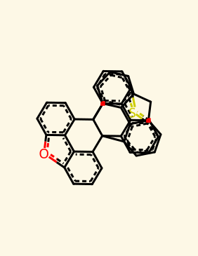 c1cc2c3c(c1)C14c5cccc6oc7cccc(c7c56)C1(c1cccc(c1-3)C2)c1cccc2sc3cccc4c3c12